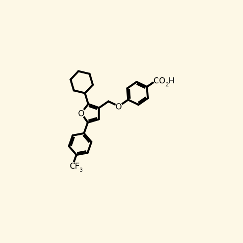 O=C(O)c1ccc(OCc2cc(-c3ccc(C(F)(F)F)cc3)oc2C2CCCCC2)cc1